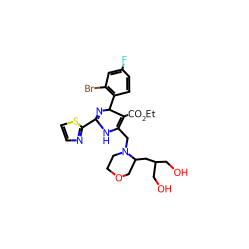 CCOC(=O)C1=C(CN2CCOCC2CC(CO)CO)NC(c2nccs2)=NC1c1ccc(F)cc1Br